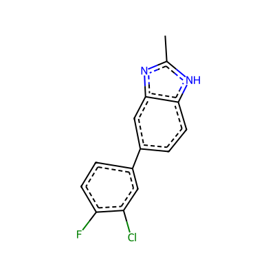 Cc1nc2cc(-c3ccc(F)c(Cl)c3)ccc2[nH]1